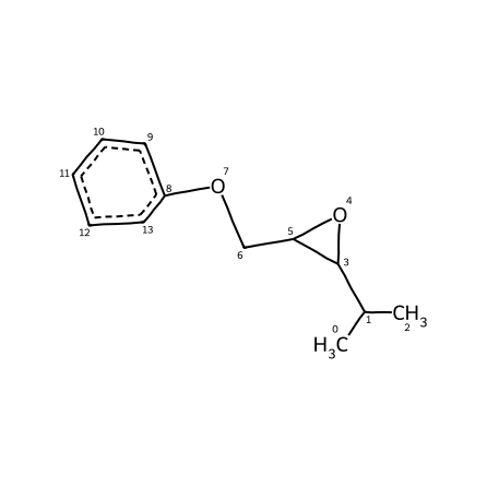 CC(C)C1OC1COc1ccccc1